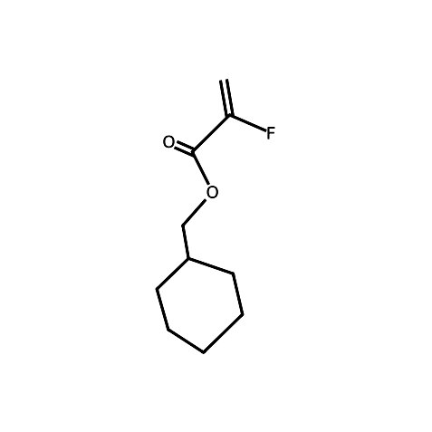 C=C(F)C(=O)OCC1CCCCC1